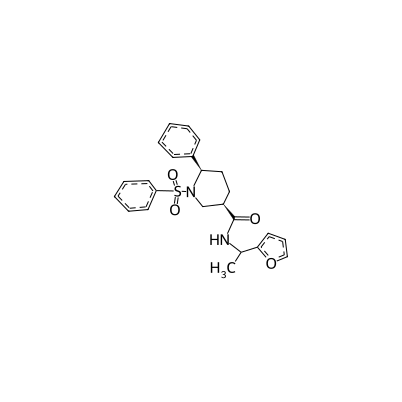 CC(NC(=O)[C@@H]1CC[C@H](c2ccccc2)N(S(=O)(=O)c2ccccc2)C1)c1ccco1